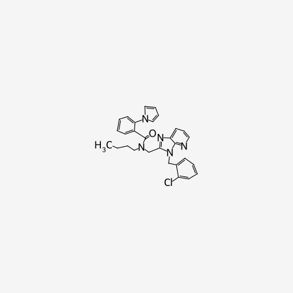 CCCCN(Cc1nc2cccnc2n1Cc1ccccc1Cl)C(=O)c1ccccc1-n1cccc1